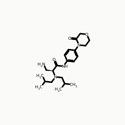 CC(C)CN(CC(C)C)[C@@H](CN)C(=O)Nc1ccc(N2CCOCC2=O)cc1